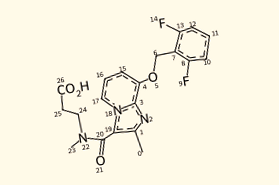 Cc1nc2c(OCc3c(F)cccc3F)cccn2c1C(=O)N(C)CCC(=O)O